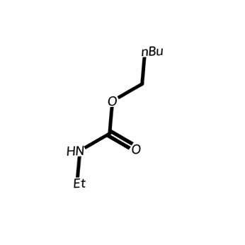 CCCCCOC(=O)NCC